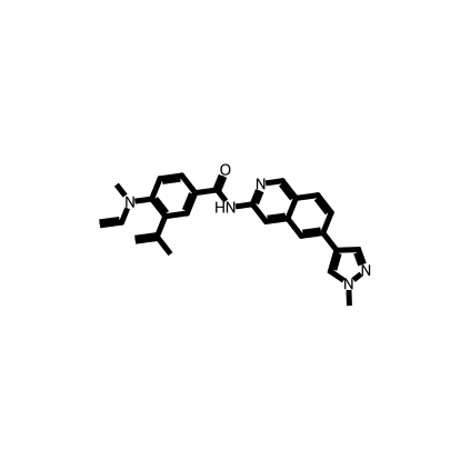 C=CN(C)c1ccc(C(=O)Nc2cc3cc(-c4cnn(C)c4)ccc3cn2)cc1C(=C)C